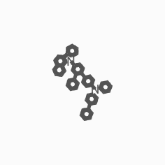 c1ccc(-c2ccc(N(c3ccccc3)c3ccc(-c4ccc(-n5c6ccccc6c6ccc7ccccc7c65)cc4-c4ccccc4)cc3)cc2)cc1